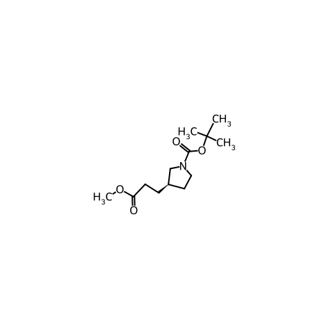 COC(=O)CC[C@@H]1CCN(C(=O)OC(C)(C)C)C1